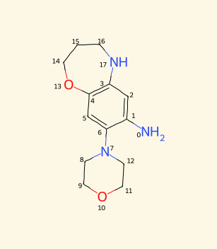 Nc1cc2c(cc1N1CCOCC1)OCCCN2